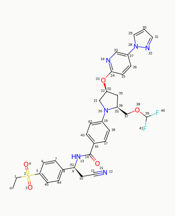 CCS(=O)(=O)c1ccc([C@H](CC#N)NC(=O)c2ccc(N3C[C@@H](Oc4ccc(-n5cccn5)cn4)C[C@H]3COC(F)F)cc2)cc1